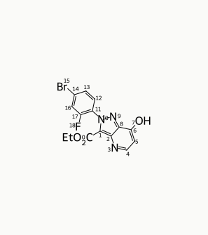 CCOC(=O)c1c2nccc(O)c2nn1-c1ccc(Br)cc1F